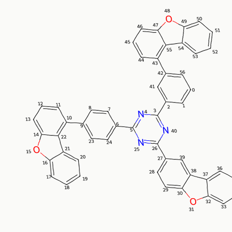 c1cc(-c2nc(-c3ccc(-c4cccc5oc6ccccc6c45)cc3)nc(-c3ccc4oc5ccccc5c4c3)n2)cc(-c2cccc3oc4ccccc4c23)c1